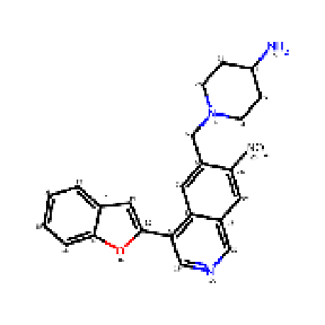 NC1CCN(Cc2cc3c(-c4cc5ccccc5o4)cncc3cc2[N+](=O)[O-])CC1